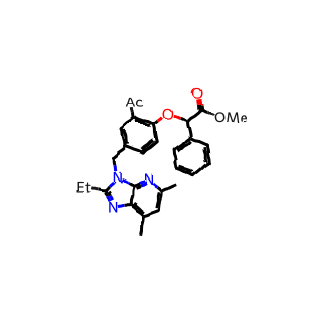 CCc1nc2c(C)cc(C)nc2n1Cc1ccc(OC(C(=O)OC)c2ccccc2)c(C(C)=O)c1